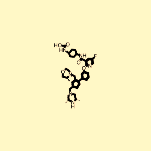 C[C@@H]1CN(Cc2ccc(-c3cccc(Oc4ncc(F)cc4C(=O)NC4CCC(NC(=O)O)CC4)c3)c(CN3CCOC[C@@H]3C)c2)C[C@H](C)N1